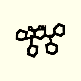 CC(CC(C(=O)O)P(C1CCCCC1)C1CCCCC1)P(C1CCCCC1)C1CCCCC1